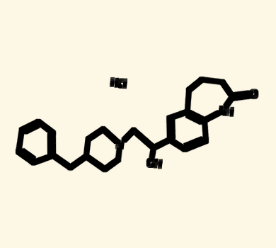 Cl.O=C1CCCc2cc(C(O)CN3CCC(Cc4ccccc4)CC3)ccc2N1